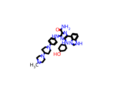 CN1CCN(C2CCN(c3ccc(Nc4nc(N[C@H]5CC[C@H](O)CC5)c(-c5cccc6[nH]cnc56)nc4C(N)=O)cc3)CC2)CC1